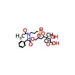 CC(=O)NCCCS(=O)(=O)OC(CCCOC(=O)Cc1ccccc1)C(C)(C)[C@@H](O)C(=O)O